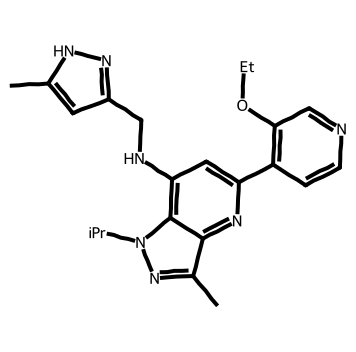 CCOc1cnccc1-c1cc(NCc2cc(C)[nH]n2)c2c(n1)c(C)nn2C(C)C